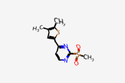 Cc1cc(-c2ccnc(S(C)(=O)=O)n2)sc1C